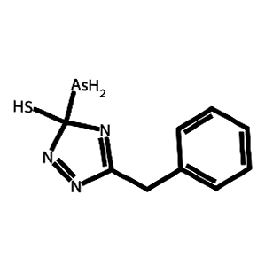 SC1([AsH2])N=NC(Cc2ccccc2)=N1